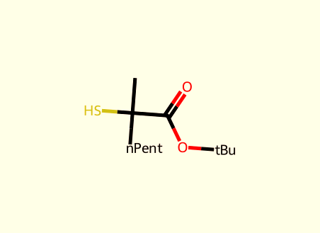 CCCCCC(C)(S)C(=O)OC(C)(C)C